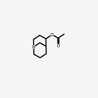 CC(=O)OC1CCN2CCCC1C2